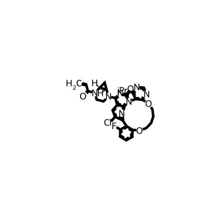 C=CC(=O)N1CCN(c2nc(=O)n3c4nc(c(Cl)cc24)-c2c(F)cccc2OCCCCOc2ncnc(C(C)C)c2-3)[C@@H]2C[C@@H]21